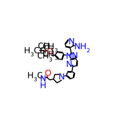 CNC(=O)CC1CCN(c2cccc(-c3ccc4nc(-c5cccnc5N)n(-c5ccc(CO[Si](C)(C)C(C)(C)C)cc5)c4n3)c2)CC1